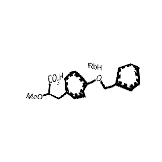 COC(Cc1ccc(OCc2ccccc2)cc1)C(=O)O.[RbH]